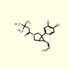 CC(C)(C)OC(=O)N1CC2C(/C=N\O)C2(c2ccc(Cl)c(Cl)c2)C1